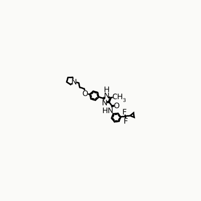 Cc1[nH]c(-c2ccc(OCCCN3CCCC3)cc2)nc1C(=O)Nc1cccc(C(F)(F)C2CC2)c1